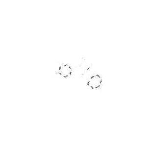 Cc1ccc(S(=O)(=O)C(N)c2ccc(F)cc2)cc1